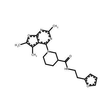 Cc1nc(N2CCCC(C(=O)NCCc3ccco3)C2)c2c(C)c(C)oc2n1